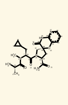 C[C@H](N)C(=O)N(C)[C@@H](CC1CC1)C(=O)N1C[C@@]2(C[C@H]1C(N)=O)Oc1cccnc1NC2=O